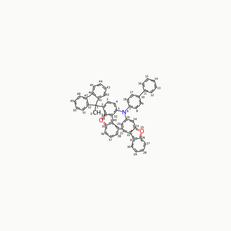 CC1(c2ccc(N(c3ccc(-c4ccccc4)cc3)c3ccc4c(c3)oc3ccccc34)c3c2oc2ccccc23)c2ccccc2-c2ccccc21